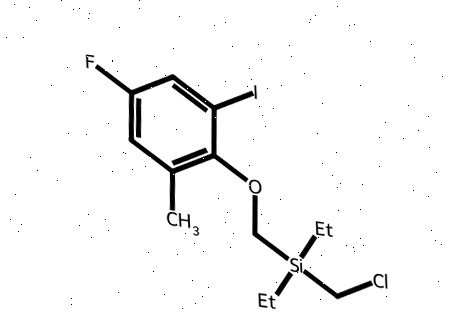 CC[Si](CC)(CCl)COc1c(C)cc(F)cc1I